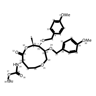 COc1ccc(CO[C@H]2[C@H](C)OC(=O)[C@@H](NC(=O)OC(C)(C)C)CCOC[C@@H]2OCc2ccc(OC)cc2)cc1